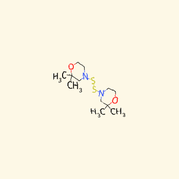 CC1(C)CN(SSN2CCOC(C)(C)C2)CCO1